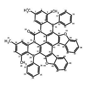 Cc1cc(C)c2c(c1)N1C(=O)N3c4cc(C)cc(C)c4B(c4ccccc4)c4c3c3c1c(c1oc5ccccc5c1c3c1c4oc3ccccc31)B2c1ccccc1